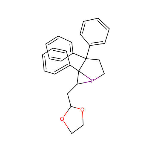 c1ccc(C2(c3ccccc3)CCP3C(CC4OCCO4)C32c2ccccc2)cc1